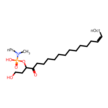 CCCCCCCC/C=C\CCCCCCCCCCCC(=O)C(CCO)OP(=O)(O)N(C)CCC